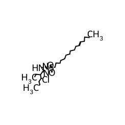 CCCC/C=C/CCCCCCCCCCS(=O)(=O)c1n[nH]c(C(CC)C(Cl)CCC)n1